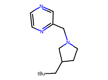 CC(C)(C)CC1CCN(Cc2cnccn2)C1